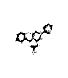 C[C@@H]1CN(c2ccccc2)C[C@H](CC(=O)O)N1Cc1ccccc1